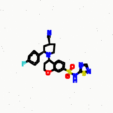 N#C[C@H]1CCN(C2CCOc3cc(S(=O)(=O)Nc4ncns4)ccc32)[C@@H](c2ccc(F)cc2)C1